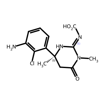 CN1C(=O)C[C@@](C)(c2cccc(N)c2Cl)N/C1=N\C(=O)O